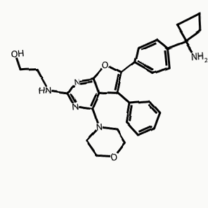 NC1(c2ccc(-c3oc4nc(NCCO)nc(N5CCOCC5)c4c3-c3ccccc3)cc2)CCC1